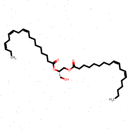 CC/C=C\C/C=C\C/C=C\CCCCCCCC(=O)O[C@@H](CO)COC(=O)CCCCCCC/C=C\C/C=C\CCCCC